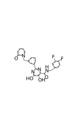 O=C(NCc1ccc(F)c(F)c1)c1nc(-c2cccc(Cn3ccccc3=O)c2)nc(O)c1O